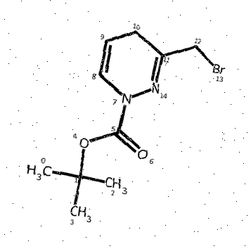 CC(C)(C)OC(=O)N1C=CCC(CBr)=N1